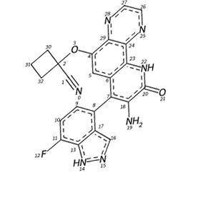 N#CC1(Oc2cc3c(-c4ccc(F)c5[nH]ncc45)c(N)c(=O)[nH]c3c3nccnc23)CCC1